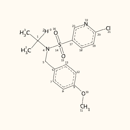 [2H]C(C)(C)N(Cc1ccc(OC)cc1)S(=O)(=O)c1ccc(Cl)nc1